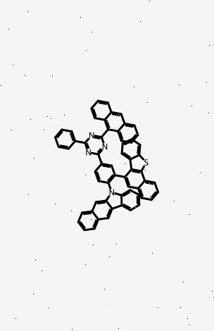 c1ccc(-c2nc(-c3ccc(-n4c5ccccc5c5cc6ccccc6cc54)c(-c4cc5ccccc5c5sc6ccccc6c45)c3)nc(-c3c4ccccc4cc4ccccc34)n2)cc1